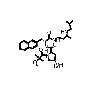 COC(C)(C)C(=O)N1C[C@H](O)CC1C(=O)N[C@H](Cc1ccc2ccccc2c1)C(=O)NCCC(C)NCC(C)C.Cl